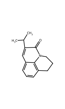 CC(C)c1cc2cccc3c2n(c1=O)CCC3